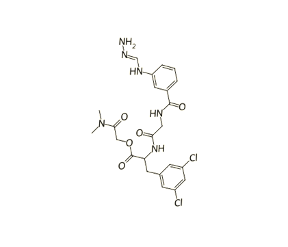 CN(C)C(=O)COC(=O)C(Cc1cc(Cl)cc(Cl)c1)NC(=O)CNC(=O)c1cccc(NC=NN)c1